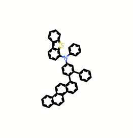 c1ccc(-c2cc(N(c3ccccc3)c3cccc4c3sc3ccccc34)ccc2-c2cccc3c2ccc2c4ccccc4ccc32)cc1